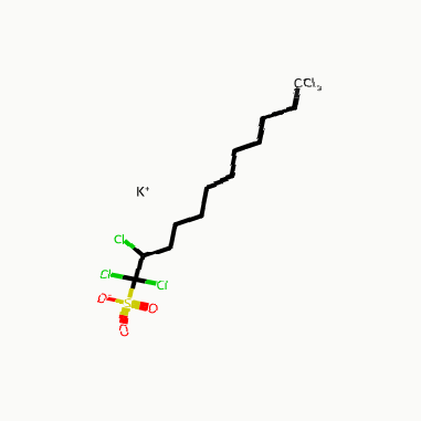 O=S(=O)([O-])C(Cl)(Cl)C(Cl)CCCCCCCCCC(Cl)(Cl)Cl.[K+]